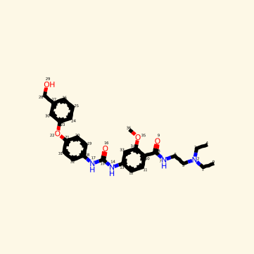 CCN(CC)CCNC(=O)c1ccc(NC(=O)Nc2ccc(Oc3cccc(CO)c3)cc2)cc1OC